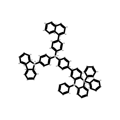 c1ccc(N2c3ccccc3[Si](c3ccccc3)(c3ccccc3)c3ccc(-c4ccc(N(c5ccc(-c6cccc7ccccc67)cc5)c5ccc(-n6c7ccccc7c7ccccc76)cc5)cc4)cc32)cc1